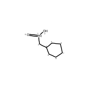 O=[PH](O)CC1CCCCC1